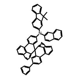 CC1(C)c2ccccc2-c2ccc(N(c3ccc4c(c3)C3(c5cc(-c6ccccc6)ccc5-c5cccc6cccc3c56)c3cccc5cccc-4c35)c3ccc4ccccc4c3)cc21